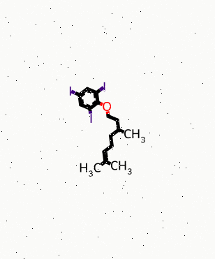 CC(C)=CCCC(C)CCOc1c(I)cc(I)cc1I